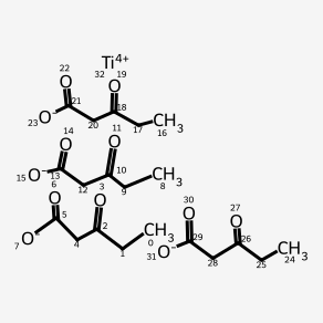 CCC(=O)CC(=O)[O-].CCC(=O)CC(=O)[O-].CCC(=O)CC(=O)[O-].CCC(=O)CC(=O)[O-].[Ti+4]